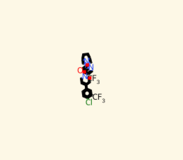 O=C(CN1CC2CCC(C1)N2c1ccc(C(F)(F)F)cn1)N1CC=C(c2ccc(Cl)c(C(F)(F)F)c2)CC1